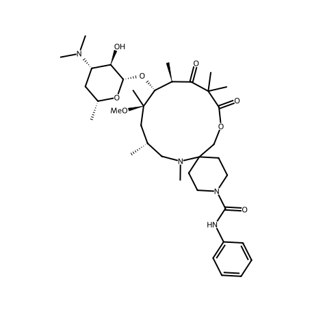 CO[C@]1(C)C[C@@H](C)CN(C)C2(CCN(C(=O)Nc3ccccc3)CC2)COC(=O)C(C)(C)C(=O)[C@H](C)[C@H]1O[C@@H]1O[C@H](C)C[C@H](N(C)C)[C@H]1O